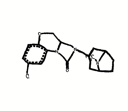 CN1C2CCC1CC(N1CC3COc4ccc(Cl)cc4N3C1=O)C2